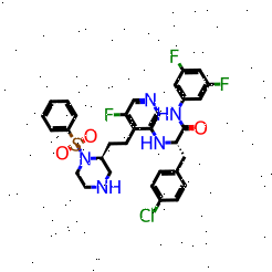 O=C(Nc1cc(F)cc(F)c1)[C@H](Cc1ccc(Cl)cc1)Nc1cncc(F)c1CC[C@H]1CNCCN1S(=O)(=O)c1ccccc1